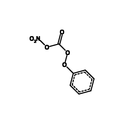 O=C(OOc1ccccc1)O[N+](=O)[O-]